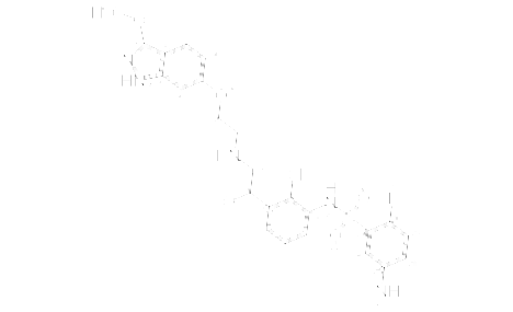 COc1n[nH]c2cc(OCCNCC(O)c3cccc(NS(=O)(=O)c4cc(N)ccc4F)c3Cl)ccc12